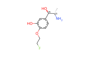 C[C@H](N)[C@H](O)c1ccc(OCCF)c(O)c1